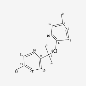 Cc1ccc(OC(C)(C)c2ccc(C)cc2)cc1